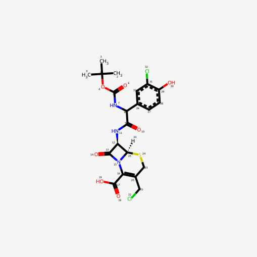 CC(C)(C)OC(=O)NC(C(=O)N[C@@H]1C(=O)N2C(C(=O)O)=C(CCl)CS[C@H]12)c1ccc(O)c(Cl)c1